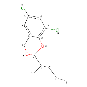 CCCC(C)C1OCc2cc(Cl)cc(Cl)c2O1